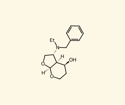 CCN(Cc1ccccc1)[C@H]1CO[C@@H]2OCC[C@H](O)[C@@H]21